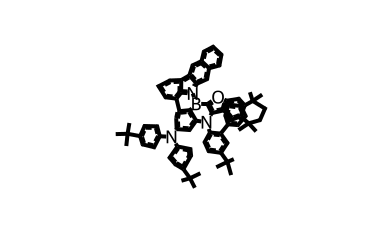 CC(C)(C)c1ccc(N(c2ccc(C(C)(C)C)cc2)c2cc3c4c(c2)N(c2ccc(C(C)(C)C)cc2-c2ccccc2)c2c(oc5cc6c(cc25)C(C)(C)CCC6(C)C)B4n2c4cc5ccccc5cc4c4cccc-3c42)cc1